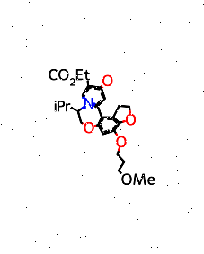 CCOC(=O)c1cn2c(cc1=O)-c1c(cc(OCCCOC)c3c1CCO3)OC[C@H]2C(C)C